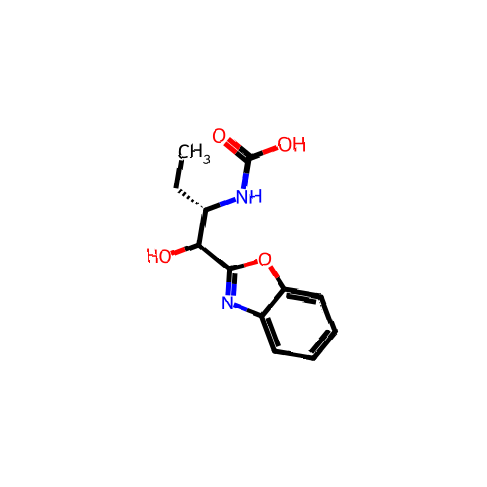 CC[C@H](NC(=O)O)C(O)c1nc2ccccc2o1